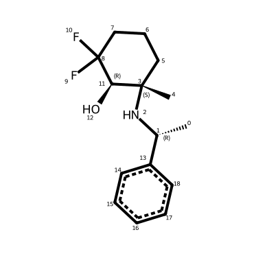 C[C@@H](N[C@@]1(C)CCCC(F)(F)[C@@H]1O)c1ccccc1